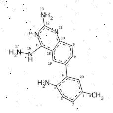 Cc1ccc(N)c(-c2ccc3nc(N)nc(NN)c3c2)c1